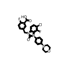 O=C(O)c1cc(Cn2c(=O)n(-c3ccc(N4CCOCC4)cc3)c3c(F)c(Cl)ccc32)ccc1F